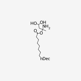 CCCCCCCCCCCCCCCCCC(=O)OC(C)(N)CC(O)O